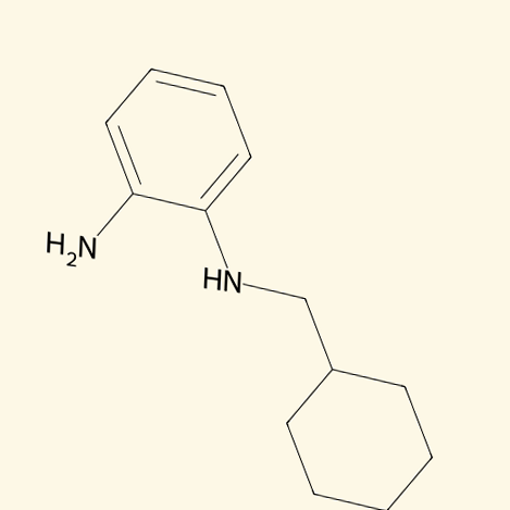 Nc1ccccc1NCC1CCCCC1